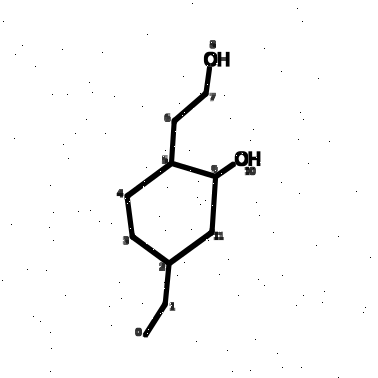 CCC1CCC(CCO)C(O)C1